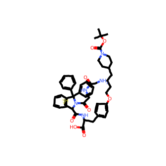 CC(C)(C)OC(=O)N1CCC(CCCCOc2ccc(CC(NC(=O)C(CS)N(C(=O)CNC(=O)CN)C(c3ccccc3)(c3ccccc3)c3ccccc3)C(=O)O)cc2)CC1